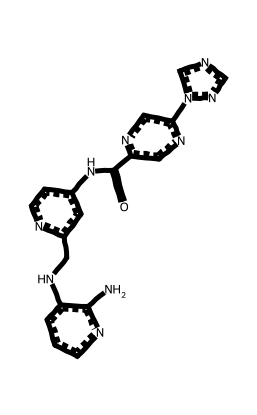 Nc1ncccc1NCc1cc(NC(=O)c2cnc(-n3cncn3)cn2)ccn1